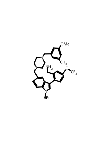 CCCCn1cc(-c2ccc(OC(F)(F)F)cc2CN)c2cc(CN3CCN(Cc4cc(C)cc(OC)c4)CC3)ccc21